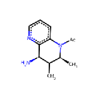 CC(=O)N1c2cccnc2[C@H](N)C(C)[C@@H]1C